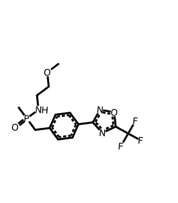 COCCNP(C)(=O)Cc1ccc(-c2noc(C(F)(F)F)n2)cc1